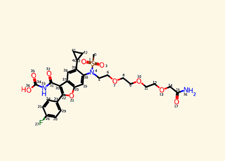 CS(=O)(=O)N(CCOCCOCCOCC(N)=O)c1cc2oc(-c3ccc(F)cc3)c(C(=O)NC(=O)O)c2cc1C1CC1